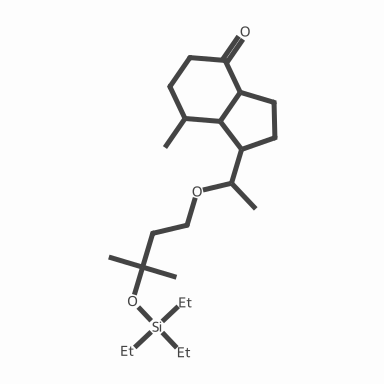 CC[Si](CC)(CC)OC(C)(C)CCOC(C)C1CCC2C(=O)CCC(C)C21